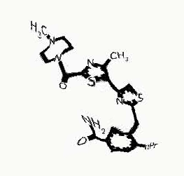 CCCc1ccc(C(N)=O)cc1Cc1nc(-c2sc(C(=O)N3CCN(C)CC3)nc2C)cs1